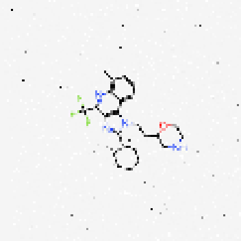 Cc1cccc2c1nc(C(F)(F)F)c1nc(C3CCCCC3)n(CCC3CNCCO3)c12